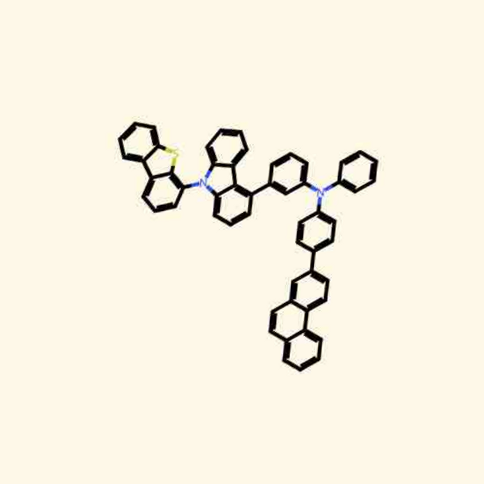 c1ccc(N(c2ccc(-c3ccc4c(ccc5ccccc54)c3)cc2)c2cccc(-c3cccc4c3c3ccccc3n4-c3cccc4c3sc3ccccc34)c2)cc1